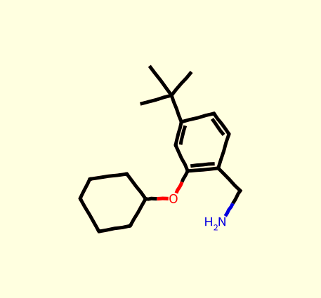 CC(C)(C)c1ccc(CN)c(OC2CCCCC2)c1